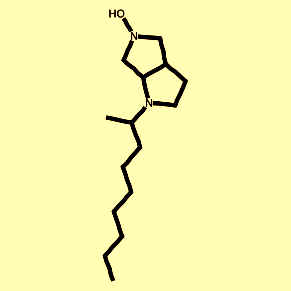 CCCCCCCC(C)N1CCC2CN(O)CC21